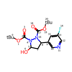 CC(C)(C)OC(=O)N1C(O)CC(c2cncc(F)c2)N1C(=O)OC(C)(C)C